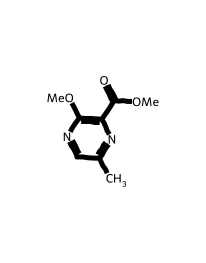 COC(=O)c1nc(C)cnc1OC